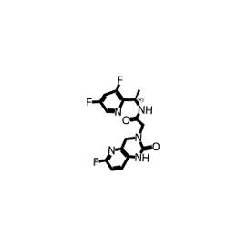 C[C@@H](NC(=O)CN1Cc2nc(F)ccc2NC1=O)c1ncc(F)cc1F